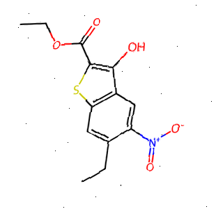 CCOC(=O)c1sc2cc(CC)c([N+](=O)[O-])cc2c1O